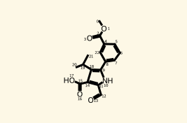 COC(=O)c1cccc(-c2[nH]c(C=O)c(C(=O)O)c2C(C)C)c1